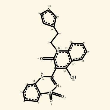 O=c1c(C2=NS(=O)(=O)c3ccccc3N2)c(O)c2ccccc2n1CCc1ccsc1